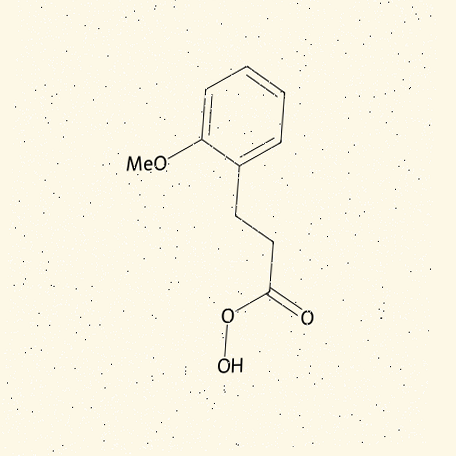 COc1ccccc1CCC(=O)OO